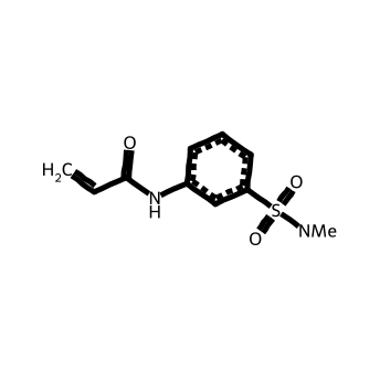 C=CC(=O)Nc1cccc(S(=O)(=O)NC)c1